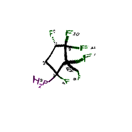 F[C@H]1CC(F)(P)C(F)(F)C1(F)F